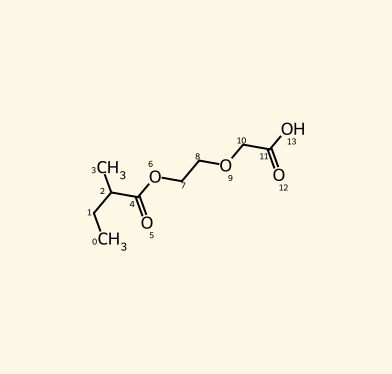 CCC(C)C(=O)OCCOCC(=O)O